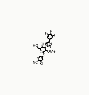 COC1C(Sc2cnc(C#N)c(Cl)c2)OC(CO)C(O)C1n1cc(-c2cc(F)c(F)c(F)c2)nn1